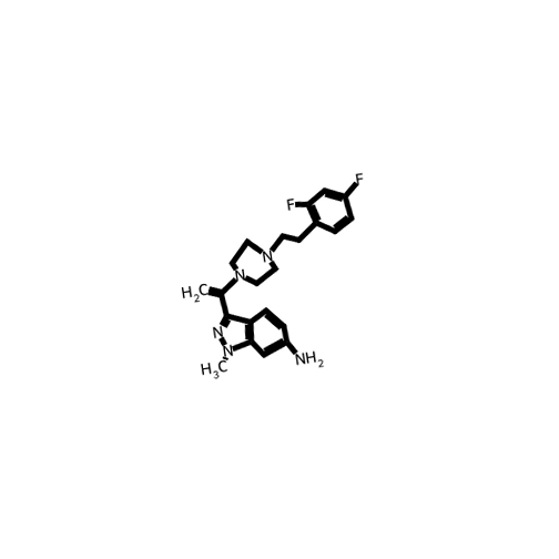 C=C(c1nn(C)c2cc(N)ccc12)N1CCN(CCc2ccc(F)cc2F)CC1